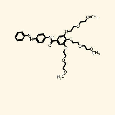 COCCOCCOc1cc(C(=O)Nc2ccc(/N=N/c3ccccc3)cc2)cc(OCCOCCOC)c1OCCOCCOC